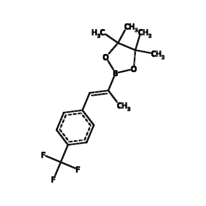 CC(=Cc1ccc(C(F)(F)F)cc1)B1OC(C)(C)C(C)(C)O1